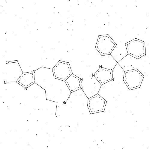 CCCCc1nc(Cl)c(C=O)n1Cc1ccc2nn(-c3ccccc3-c3nnn(C(c4ccccc4)(c4ccccc4)c4ccccc4)n3)c(Br)c2c1